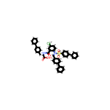 O=C(N[C@@H](Cc1ccc(-c2ccccc2)cc1)C(=O)O)c1cc(Cl)ccc1N(Cc1ccc(-c2ccccc2)cc1)S(=O)(=O)c1ccc(-c2ccccc2)cc1